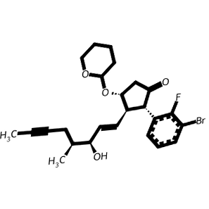 CC#CC[C@H](C)[C@H](O)/C=C/[C@@H]1[C@@H](c2cccc(Br)c2F)C(=O)C[C@H]1OC1CCCCO1